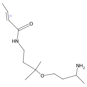 C/C=C/C(=O)NCCC(C)(C)OCCC(C)N